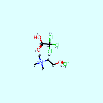 C[N+](C)(C)CCO.O=C(O)C(Cl)(Cl)Cl.[Cl-]